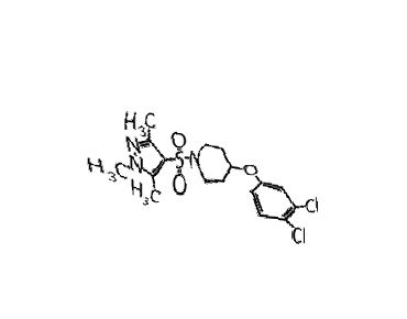 Cc1nn(C)c(C)c1S(=O)(=O)N1CCC(Oc2ccc(Cl)c(Cl)c2)CC1